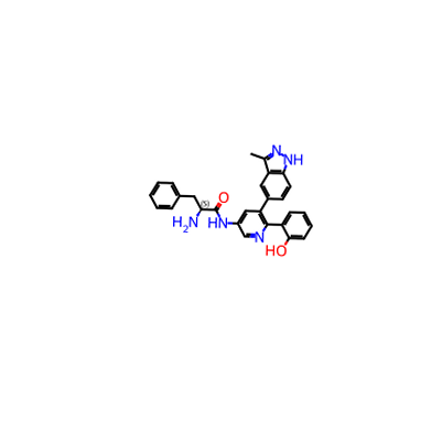 Cc1n[nH]c2ccc(-c3cc(NC(=O)[C@@H](N)Cc4ccccc4)cnc3-c3ccccc3O)cc12